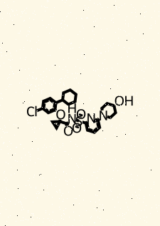 O=C(NS(=O)(=O)c1cccc(N2CCC(O)CC2)n1)C1(Oc2cc(Cl)ccc2C2CCCCC2)CC1